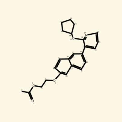 CC(=O)OCCOc1ccc2cc(-c3cccnc3OC3CCCC3)ccc2c1